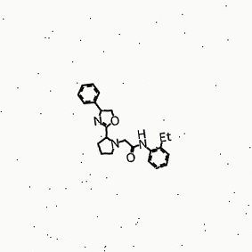 CCc1ccccc1NC(=O)CN1CCCC1C1=NC(c2ccccc2)CO1